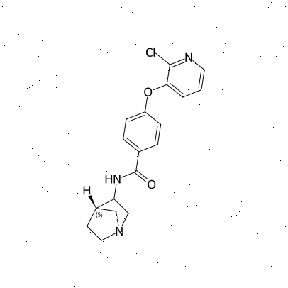 O=C(NC1CN2CC[C@H]1C2)c1ccc(Oc2cccnc2Cl)cc1